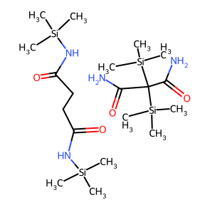 C[Si](C)(C)C(C(N)=O)(C(N)=O)[Si](C)(C)C.C[Si](C)(C)NC(=O)CCC(=O)N[Si](C)(C)C